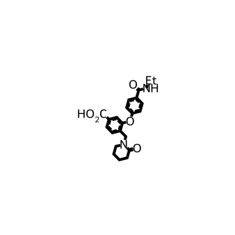 CCNC(=O)c1ccc(Oc2cc(C(=O)O)ccc2CN2CCCCC2=O)cc1